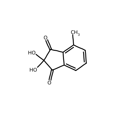 Cc1cccc2c1C(=O)C(O)(O)C2=O